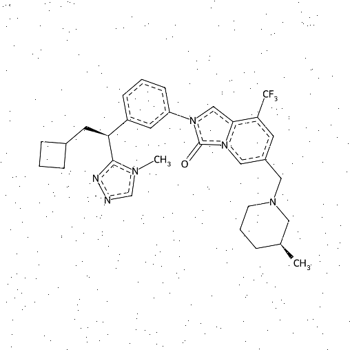 C[C@H]1CCCN(Cc2cc(C(F)(F)F)c3cn(-c4cccc([C@H](CC5CCC5)c5nncn5C)c4)c(=O)n3c2)C1